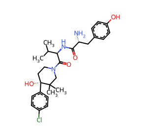 CC(C)[C@@H](NC(=O)[C@H](N)Cc1ccc(O)cc1)C(=O)N1CC[C@](O)(c2ccc(Cl)cc2)C(C)(C)C1